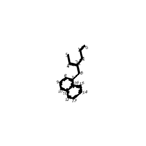 CCC[C](CC)Cc1cccc2ccccc12